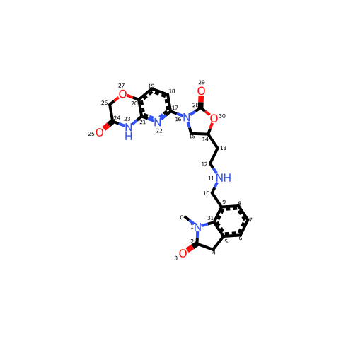 CN1C(=O)Cc2cccc(CNCCC3CN(c4ccc5c(n4)NC(=O)CO5)C(=O)O3)c21